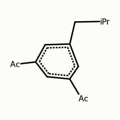 CC(=O)c1cc(CC(C)C)cc(C(C)=O)c1